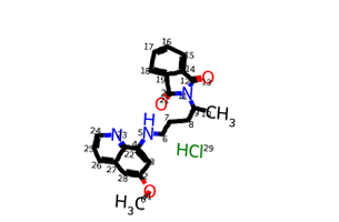 COc1cc(NCCCC(C)N2C(=O)c3ccccc3C2=O)c2ncccc2c1.Cl